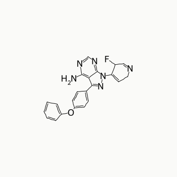 Nc1ncnc2c1c(-c1ccc(Oc3ccccc3)cc1)nn2C1=CCN=CC1F